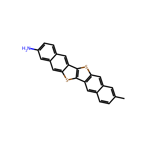 Cc1ccc2cc3c(cc2c1)sc1c2cc4ccc(N)cc4cc2sc31